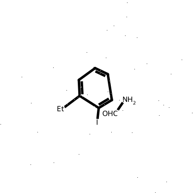 CCc1ccccc1I.NC=O